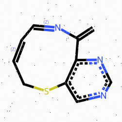 C=C1/N=C\C=C/CSc2cncnc21